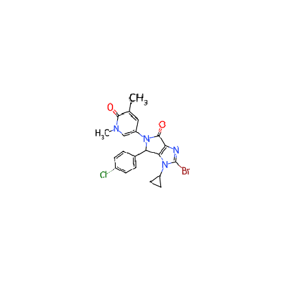 Cc1cc(N2C(=O)c3nc(Br)n(C4CC4)c3C2c2ccc(Cl)cc2)cn(C)c1=O